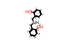 Oc1ccccc1C[SiH2]Cc1ccccc1O